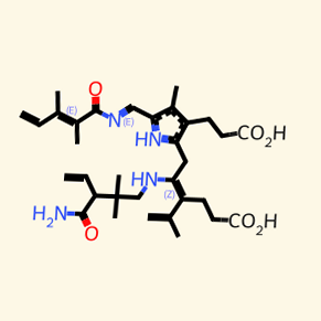 C=C/C(C)=C(\C)C(=O)/N=C/c1[nH]c(C/C(NCC(C)(C)C(C=C)C(N)=O)=C(\CCC(=O)O)C(=C)C)c(CCC(=O)O)c1C